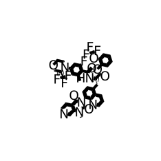 Cc1cc(N2CCOC[C@@H]2C(F)(F)F)cc(F)c1C(=O)N[C@@H](Cc1ccc(-n2c(=O)c3ccncc3n(C)c2=O)c2ncccc12)C(=O)Oc1ccccc1OC(F)(F)F